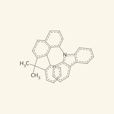 CC1(C)c2ccccc2-c2c1ccc1cccc(-n3c4ccccc4c4ccccc43)c21